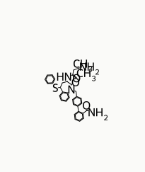 CC(C)(N)CC(=O)NC1CC(Sc2ccccc2)c2ccccc2N(Cc2ccc(-c3ccccc3C(N)=O)cc2)C1=O